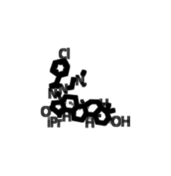 CC(C)C1=C2[C@H]3CC[C@@H]4[C@@]5(C)CC[C@H](O)C(C)(C)[C@@H]5CC[C@@]4(C)[C@]3(C)CC[C@@]2(c2ncc(-c3ccc(Cl)cc3)n2CCN(C)C)CC1=O